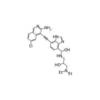 CCN(CC)CC(O)CNC(O)c1ccc(C#Cc2c(N)ncc3ccc(Cl)cc23)c2[nH]cnc12